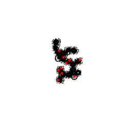 O=c1c2ccccc2c2cc(-c3cc(-c4ccccc4)nc(-c4ccc(-c5ccc6c(=O)n7c8ccc(-c9ccc(-c%10ccccc%10)s9)cc8c8cc(-c9ccc(-c%10ccccc%10)s9)cc(c6c5)c87)cc4)c3)cc3c4cc(-c5cc(-c6ccccc6)nc(-c6ccccc6)c5)ccc4n1c23